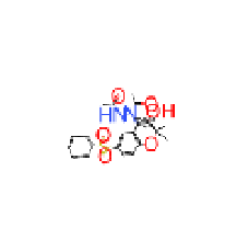 CC(=O)NN(C(C)=O)[C@@H]1c2cc(S(=O)(=O)c3ccccc3)ccc2OC(C)(C)[C@H]1O